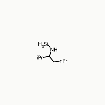 CCCCC(N[SiH3])C(C)C